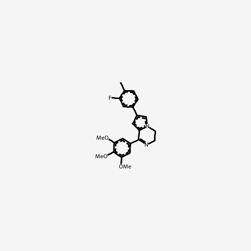 COc1cc(C2=NCCn3cc(-c4ccc(C)c(F)c4)cc32)cc(OC)c1OC